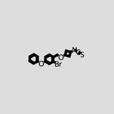 S=C=NC1CC(OCc2ccc(Oc3ccccc3)cc2Br)C1